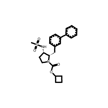 CS(=O)(=O)N[C@H]1CCN(C(=O)OC2CCC2)[C@H]1Cc1cccc(-c2ccccc2)c1